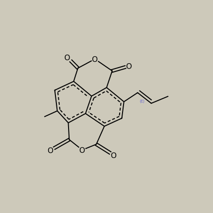 C/C=C/c1cc2c3c(c(C)cc4c3c1C(=O)OC4=O)C(=O)OC2=O